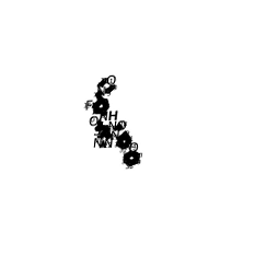 O=C(Nc1ccc(CN2CCOCC2)c(F)c1)c1sc2ncnc3c2c1NC(=O)N3c1ccc(Oc2ccccc2)cc1